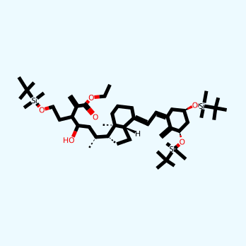 C=C(C(=O)OCC)C(CCO[Si](C)(C)C(C)(C)C)C(O)C[C@@H](C)[C@H]1CC[C@H]2/C(=C/C=C3/C[C@@H](O[Si](C)(C)C(C)(C)C)C[C@H](O[Si](C)(C)C(C)(C)C)C3=C)CCC[C@]12C